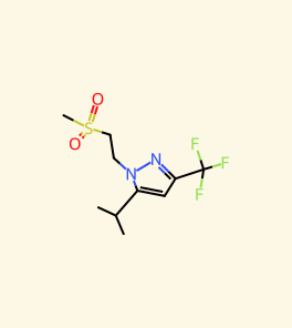 CC(C)c1cc(C(F)(F)F)nn1CCS(C)(=O)=O